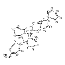 CC(C)(C)c1ccc(-c2c3ccccc3c(C3=Cc4ccc(-c5ccccn5)cc4CC3)c3ccccc23)cc1